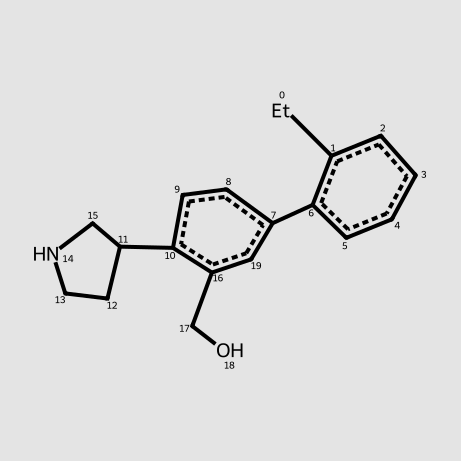 CCc1ccccc1-c1ccc(C2CCNC2)c(CO)c1